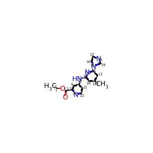 CCOC(=O)c1cc(Nc2cc(C)cc(-n3ccnc3)n2)ccn1